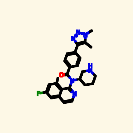 Cc1cc(F)cc2ccnc(N(C(=O)c3ccc(-c4nnn(C)c4C)cc3)[C@@H]3CCCNC3)c12